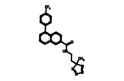 CC1(CCNC(=O)c2ccc3c(-c4ccc(C(F)(F)F)cc4)cccc3c2)N=NN=N1